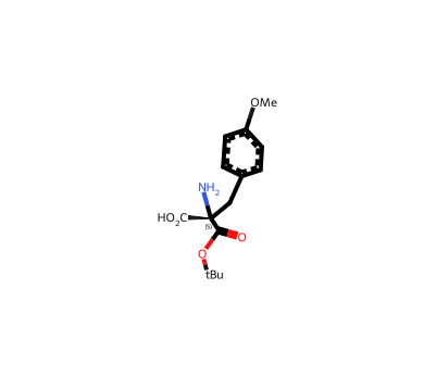 COc1ccc(C[C@](N)(C(=O)O)C(=O)OC(C)(C)C)cc1